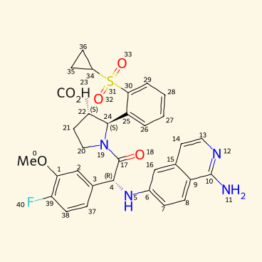 COc1cc([C@@H](Nc2ccc3c(N)nccc3c2)C(=O)N2CC[C@H](C(=O)O)[C@H]2c2ccccc2S(=O)(=O)C2CC2)ccc1F